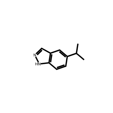 C[C](C)c1ccc2[nH]ncc2c1